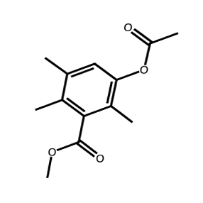 COC(=O)c1c(C)c(C)cc(OC(C)=O)c1C